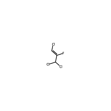 FC(=CCl)C(Cl)Cl